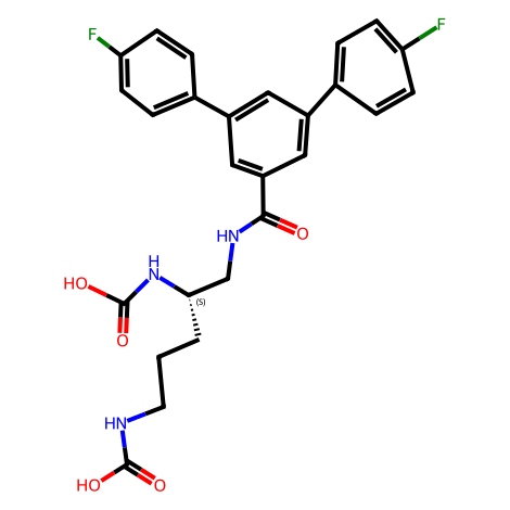 O=C(O)NCCC[C@@H](CNC(=O)c1cc(-c2ccc(F)cc2)cc(-c2ccc(F)cc2)c1)NC(=O)O